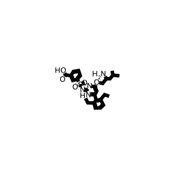 CCc1cccc(CC)c1-c1cc(OCC(N)CC(C)C)nc(NS(=O)(=O)c2cccc(C(=O)O)c2)n1